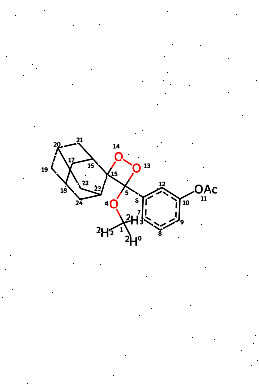 [2H]C([2H])([2H])OC1(c2cccc(OC(C)=O)c2)OOC12C1CC3CC(C1)CC2C3